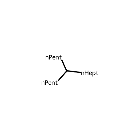 CCCCCCC[C](CCCCC)CCCCC